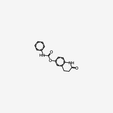 O=C1CCc2cc(OC(=O)Nc3ccccc3)ccc2N1